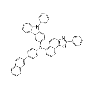 c1ccc(-c2nc3ccc4c(N(c5ccc(-c6ccc7ccccc7c6)cc5)c5ccc6c(c5)c5ccccc5n6-c5ccccc5)cccc4c3o2)cc1